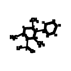 [Li][C](=O)c1c(C)cc(C)c(-c2ccccc2)c1C